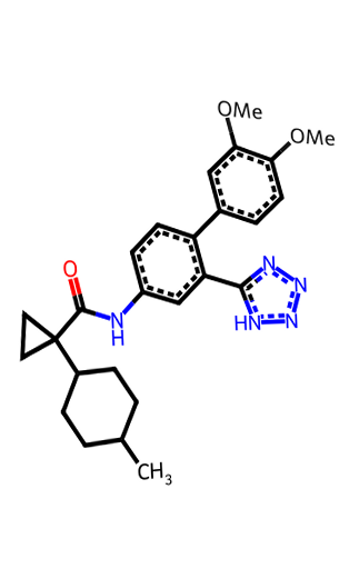 COc1ccc(-c2ccc(NC(=O)C3(C4CCC(C)CC4)CC3)cc2-c2nnn[nH]2)cc1OC